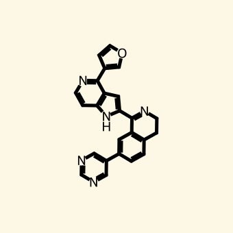 c1ncc(-c2ccc3c(c2)C(c2cc4c(-c5ccoc5)nccc4[nH]2)=NCC3)cn1